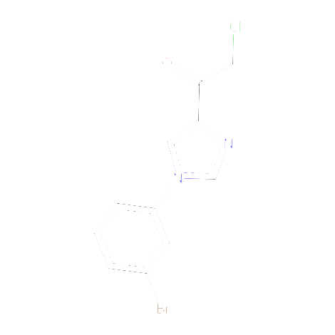 O=C(CCl)c1cn(-c2cccc(Br)c2)cn1